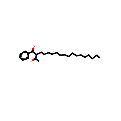 CCCCCCCCCCCCCCCCC(C(C)=O)C(=O)c1ccccc1